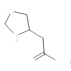 O=C(O)C(=O)CC1CNCN1